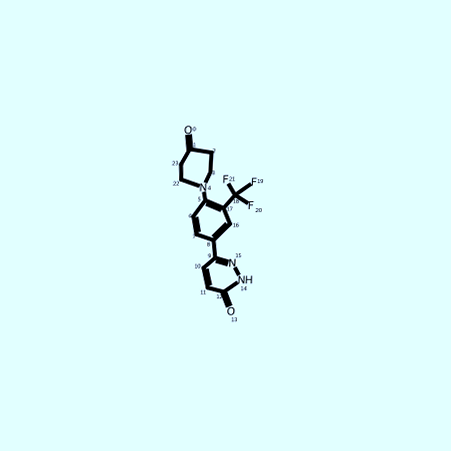 O=C1CCN(c2ccc(-c3ccc(=O)[nH]n3)cc2C(F)(F)F)CC1